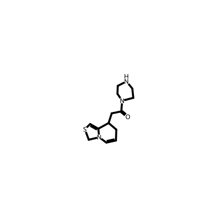 O=C(CC1CC=CN2CSC=C12)N1CCNCC1